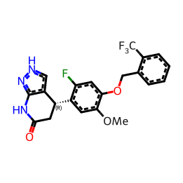 COc1cc([C@@H]2CC(=O)Nc3n[nH]cc32)c(F)cc1OCc1ccccc1C(F)(F)F